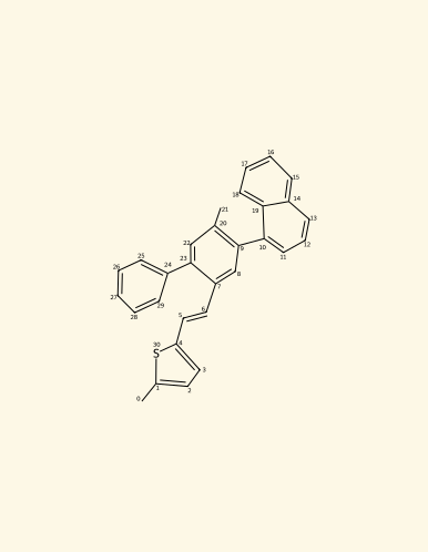 Cc1ccc(/C=C/c2cc(-c3cccc4ccccc34)c(C)cc2-c2ccccc2)s1